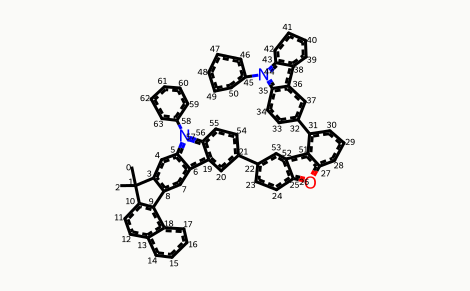 CC1(C)c2cc3c(cc2-c2c1ccc1ccccc21)c1cc(-c2ccc4oc5cccc(-c6ccc7c(c6)c6ccccc6n7-c6ccccc6)c5c4c2)ccc1n3-c1ccccc1